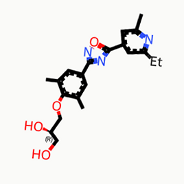 CCc1cc(-c2nc(-c3cc(C)c(OC[C@H](O)CO)c(C)c3)no2)cc(C)n1